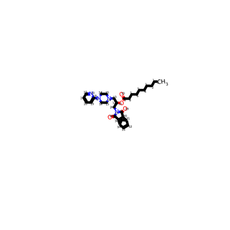 CCCCCCCCCC(=O)OC(CN1CCN(c2ccccn2)CC1)CN1C(=O)C2C3C=CC(C3)C2C1=O